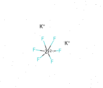 [F][Zr-2]([F])([F])([F])([F])[F].[K+].[K+]